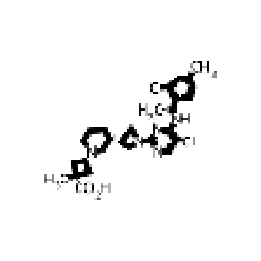 Cc1ccc([C@@H](C)Nc2nc(N3CC([C@H]4CCCN([C@H]5C[C@@](C)(C(=O)O)C5)C4)C3)ncc2Cl)c(Cl)c1